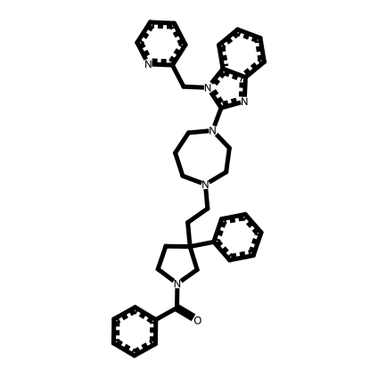 O=C(c1ccccc1)N1CCC(CCN2CCCN(c3nc4ccccc4n3Cc3ccccn3)CC2)(c2ccccc2)C1